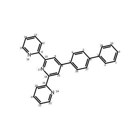 c1ccc(-c2ccc(-c3cc(-c4ccccn4)nc(-c4ccccn4)c3)cc2)cc1